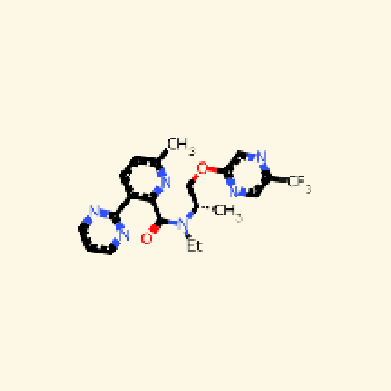 CCN(C(=O)c1nc(C)ccc1-c1ncccn1)[C@@H](C)COc1cnc(C(F)(F)F)cn1